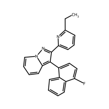 CCc1cccc(-c2nn3ccccc3c2-c2ccc(F)c3ccccc23)n1